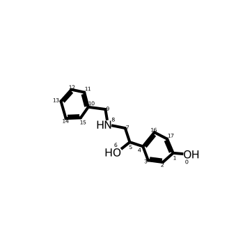 Oc1ccc(C(O)CNCc2ccccc2)cc1